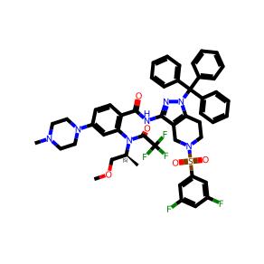 COC[C@H](C)N(C(=O)C(F)(F)F)c1cc(N2CCN(C)CC2)ccc1C(=O)Nc1nn(C(c2ccccc2)(c2ccccc2)c2ccccc2)c2c1CN(S(=O)(=O)c1cc(F)cc(F)c1)CC2